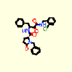 O=C(NCc1ccccc1Cl)C(=O)C(Cc1ccccc1)NC(=O)[C@H]1CCC(=O)N1Cc1ccccc1